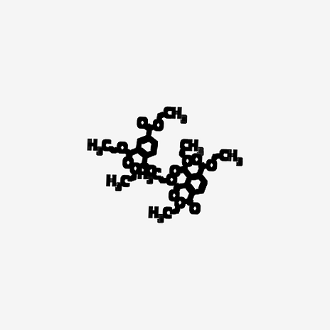 CCOC(=O)c1ccc(C(=O)OCC)c(C(=O)OCC)c1.CCOC(=O)c1ccc(C(=O)OCC)c(C(=O)OCC)c1C(=O)OCC